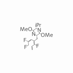 C=C/C(F)=C(\C=C(\F)CF)C[C@H]1N=C(OC)[C@H](C(C)C)N=C1OC